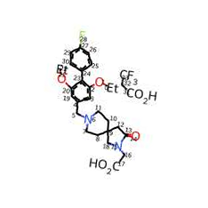 CCOc1cc(CN2CCC3(CC2)CC(=O)N(CC(=O)O)C3)cc(OCC)c1-c1ccc(F)cc1.O=C(O)CC(F)(F)F